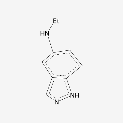 CCNc1ccc2[nH]ncc2c1